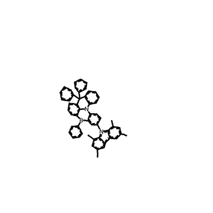 Cc1cc(C)c2c(c1)c1cc(C)cc(C)c1n2-c1ccc2c(c1)B(c1ccccc1)c1cccc3c1N2c1ccccc1C3(c1ccccc1)c1ccccc1